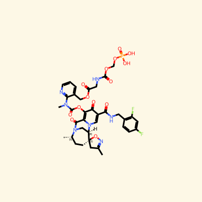 CC1=NO[C@@]2(CC[C@H](C)N3C[C@H]2n2cc(C(=O)NCc4ccc(F)cc4F)c(=O)c(OC(=O)N(C)c4ncccc4COC(=O)CNC(=O)OCOP(=O)(O)O)c2C3=O)C1